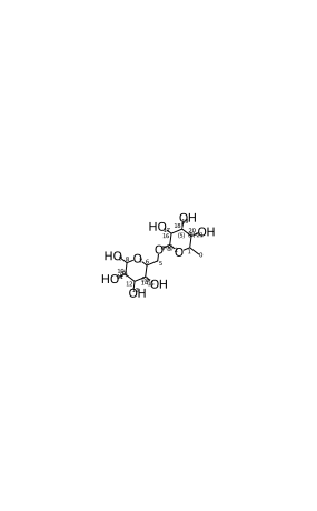 CC1O[C@@H](OCC2OC(O)[C@H](O)C(O)[C@@H]2O)C(O)[C@@H](O)[C@H]1O